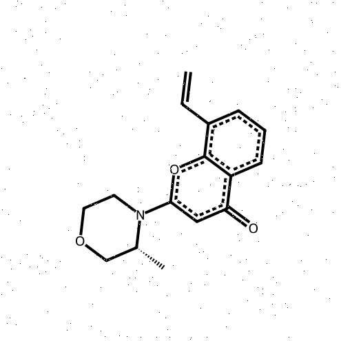 C=Cc1cccc2c(=O)cc(N3CCOC[C@H]3C)oc12